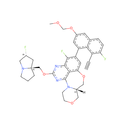 C#Cc1c(F)ccc2cc(OCOC)cc(-c3cc4c5c(nc(OC[C@@]67CCCN6C[C@H](F)C7)nc5c3F)N3CCOC[C@H]3CO4)c12